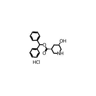 Cl.O=C(OC(c1ccccc1)c1ccccc1)[C@@H]1CNC[C@H](O)C1